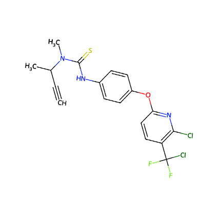 C#CC(C)N(C)C(=S)Nc1ccc(Oc2ccc(C(F)(F)Cl)c(Cl)n2)cc1